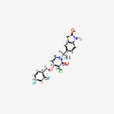 CCC(C)(c1ccc2c(c1)CC(=O)N2C)n1ccc(OCc2ccc(F)cc2F)c(Cl)c1=O